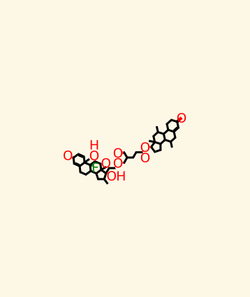 CC1CC2(C)C(OC(=O)CCC(C=O)COCC(=O)C3(O)C(C)CC4C5CCC6=CC(=O)C=CC6(C)C5(F)C(O)CC43C)CCC2C2C(C)CC3=CC(=O)CCC3C12